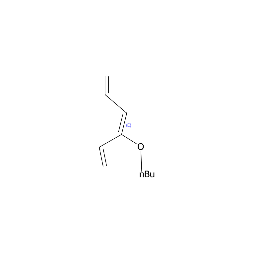 C=C/C=C(\C=C)OCCCC